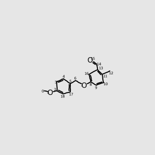 COc1ccc(COc2ccc(C)c(C=O)c2)cc1